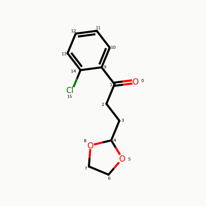 O=C(CCC1OCCO1)c1ccccc1Cl